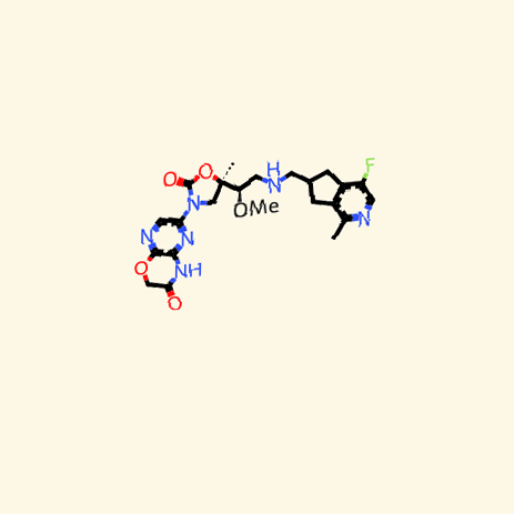 CO[C@H](CNCC1Cc2c(F)cnc(C)c2C1)[C@@]1(C)CN(c2cnc3c(n2)NC(=O)CO3)C(=O)O1